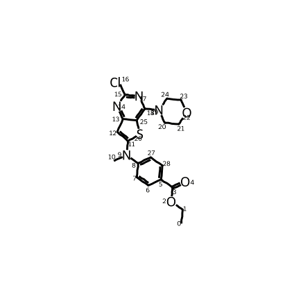 CCOC(=O)c1ccc(N(C)c2cc3nc(Cl)nc(N4CCOCC4)c3s2)cc1